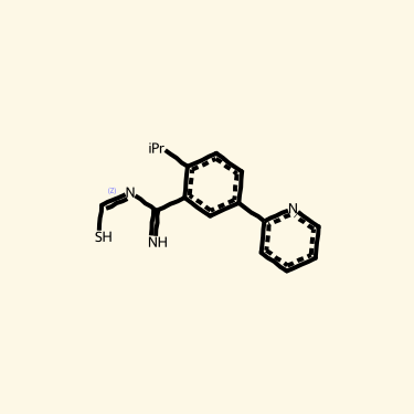 CC(C)c1ccc(-c2ccccn2)cc1C(=N)/N=C\S